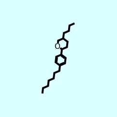 CCCCCCCc1ccc(C2CCC(CCCC)CO2)cc1